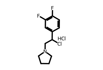 Cl.Fc1ccc(C(Cl)CN2CCCC2)cc1F